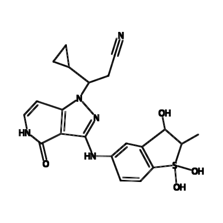 CC1C(O)c2cc(Nc3nn(C(CC#N)C4CC4)c4cc[nH]c(=O)c34)ccc2S1(O)O